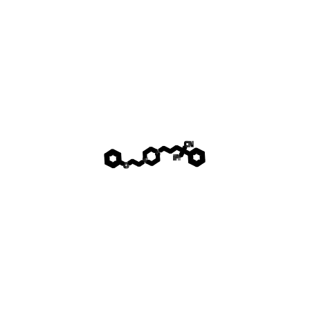 CC(C)C(C#N)(CCCN1CCN(CCOc2ccccc2)CC1)c1ccccc1